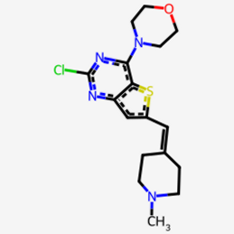 CN1CCC(=Cc2cc3nc(Cl)nc(N4CCOCC4)c3s2)CC1